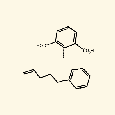 C=CCCCc1ccccc1.Cc1c(C(=O)O)cccc1C(=O)O